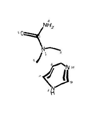 CN(C)C(N)=O.c1c[nH]cn1